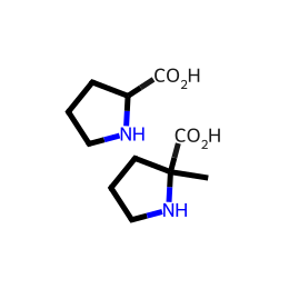 CC1(C(=O)O)CCCN1.O=C(O)C1CCCN1